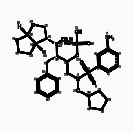 Nc1cccc(S(=O)(=O)N(CC(OP(=O)(O)O)[C@H](Cc2ccccc2)N(C(=O)O)[C@H]2CO[C@H]3OCC[C@H]32)OC2CCCC2)c1